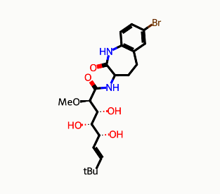 CO[C@@H](C(=O)NC1CCc2cc(Br)ccc2NC1=O)[C@H](O)[C@@H](O)[C@H](O)C=CC(C)(C)C